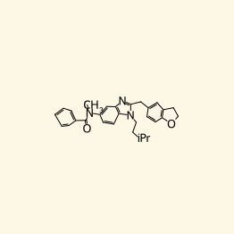 CC(C)CCn1c(Cc2ccc3c(c2)CCO3)nc2cc(N(C)C(=O)c3ccccc3)ccc21